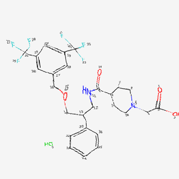 Cl.O=C(O)CN1CCC(C(=O)NCC(COCc2cc(C(F)(F)F)cc(C(F)(F)F)c2)c2ccccc2)CC1